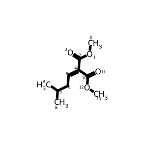 COC(=O)C(=CCC(C)C)C(=O)OC